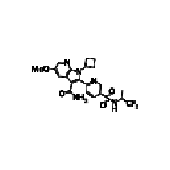 COc1cnc2c(c1)c(C(N)=O)c(-c1ccc(S(=O)(=O)N[C@@H](C)C(F)(F)F)cn1)n2C1CCC1